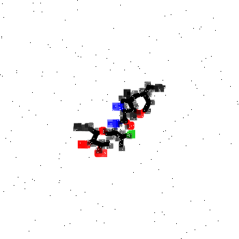 CSC1O[C@H]([C@H](NC(=O)[C@H]2NC[C@@H]3C[C@@H](CC(C)C)CCO[C@H]32)[C@H](C)Cl)C[C@@H](O)C1O